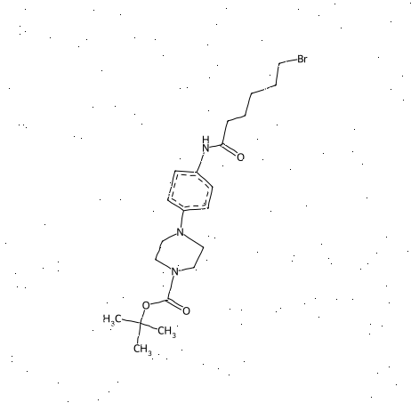 CC(C)(C)OC(=O)N1CCN(c2ccc(NC(=O)CCCCCBr)cc2)CC1